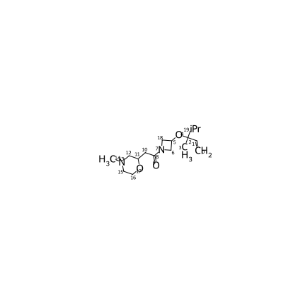 C=CC(C)(OC1CN(C(=O)CC2CN(C)CCO2)C1)C(C)C